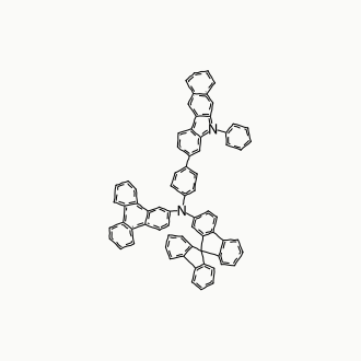 c1ccc(-n2c3cc(-c4ccc(N(c5ccc6c(c5)C5(c7ccccc7-c7ccccc75)c5ccccc5-6)c5ccc6c7ccccc7c7ccccc7c6c5)cc4)ccc3c3cc4ccccc4cc32)cc1